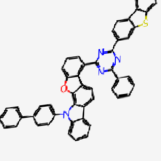 c1ccc(-c2ccc(-n3c4ccccc4c4ccc5c(oc6cccc(-c7nc(-c8ccccc8)nc(-c8ccc9c(c8)sc8ccccc89)n7)c65)c43)cc2)cc1